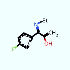 C=C(O)/C(=N\CC)c1ccc(F)cc1